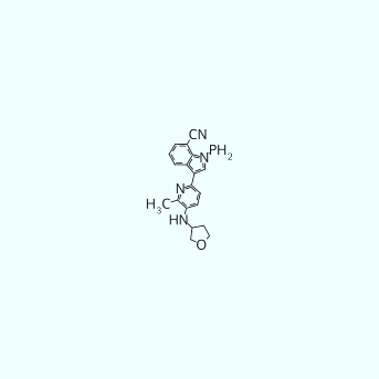 Cc1nc(-c2cn(P)c3c(C#N)cccc23)ccc1NC1CCOC1